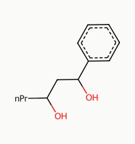 CCCC(O)CC(O)c1ccccc1